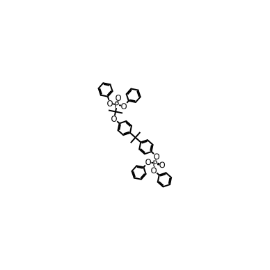 CC(C)(c1ccc(OC(C)(C)P(=O)(Oc2ccccc2)Oc2ccccc2)cc1)c1ccc(OP(=O)(Oc2ccccc2)Oc2ccccc2)cc1